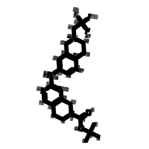 CC(C)(C)OC(=O)N1CCc2cnc(Nc3cnc4c(c3)CN(CC(F)(F)F)CC4)nc2C1